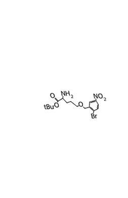 CC(C)(C)OC(=O)C(N)CCCOCc1cc([N+](=O)[O-])ccc1Br